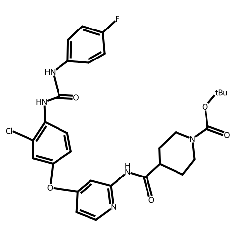 CC(C)(C)OC(=O)N1CCC(C(=O)Nc2cc(Oc3ccc(NC(=O)Nc4ccc(F)cc4)c(Cl)c3)ccn2)CC1